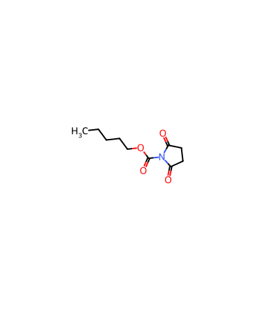 CCCCCOC(=O)N1C(=O)CCC1=O